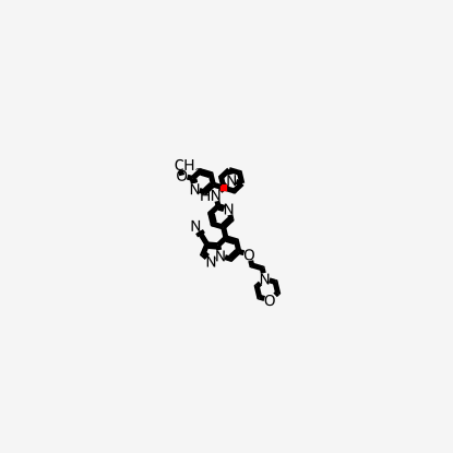 COc1ccc(CN2C3CC(Nc4ccc(-c5cc(OCCN6CCOCC6)cn6ncc(C#N)c56)cn4)CC2C3)cn1